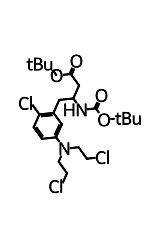 CC(C)(C)OC(=O)CC(Cc1cc(N(CCCl)CCCl)ccc1Cl)NC(=O)OC(C)(C)C